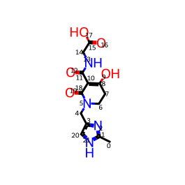 Cc1nc(CN2CCC(O)=C(C(=O)NCC(=O)O)C2=O)c[nH]1